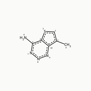 Cc1csc2c(N)nnnc12